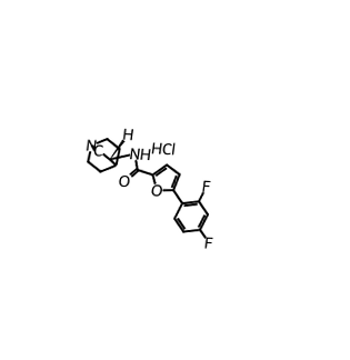 Cl.O=C(N[C@H]1CN2CCC1CC2)c1ccc(-c2ccc(F)cc2F)o1